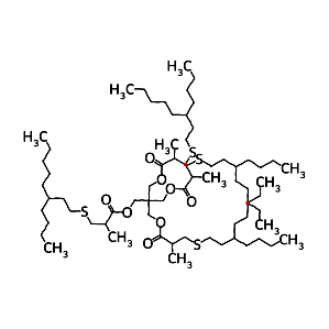 CCCCCC(CCCC)CCSCC(C)C(=O)OCC(COC(=O)C(C)CSCCC(CCCC)CCCCC)(COC(=O)C(C)CSCCC(CCCC)CCCCC)COC(=O)C(C)CSCCC(CCCC)CCCCC